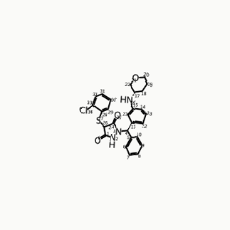 O=C1NN(C(c2ccccc2)c2cccc(N[C@H]3CCCOC3)c2)C(=O)C1Sc1ccccc1Cl